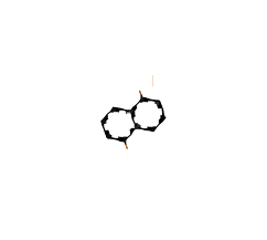 Sc1cccc2c(S)cccc12